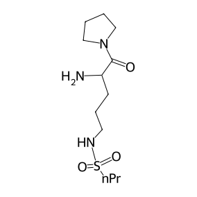 CCCS(=O)(=O)NCCCC(N)C(=O)N1CCCC1